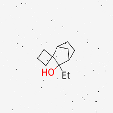 CCC1(O)C2CCC(C2)C12CCC2